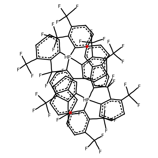 FC(F)(F)c1cccc([PH](c2cccc(C(F)(F)F)c2C(F)(F)F)(c2cccc(C(F)(F)F)c2C(F)(F)F)c2ccc3ccccc3c2-c2c([PH](c3cccc(C(F)(F)F)c3C(F)(F)F)(c3cccc(C(F)(F)F)c3C(F)(F)F)c3cccc(C(F)(F)F)c3C(F)(F)F)ccc3ccccc23)c1C(F)(F)F